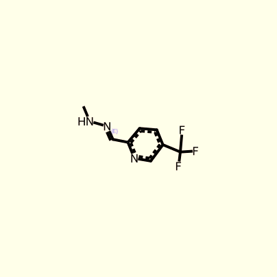 CN/N=C/c1ccc(C(F)(F)F)cn1